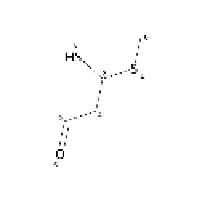 CSC(S)CC=O